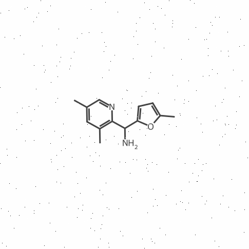 Cc1cnc(C(N)c2ccc(C)o2)c(C)c1